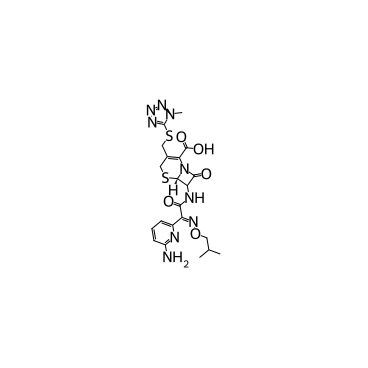 CC(C)CON=C(C(=O)NC1C(=O)N2C(C(=O)O)=C(CSc3nnnn3C)CS[C@@H]12)c1cccc(N)n1